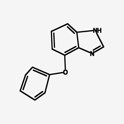 c1ccc(Oc2cccc3[nH]cnc23)cc1